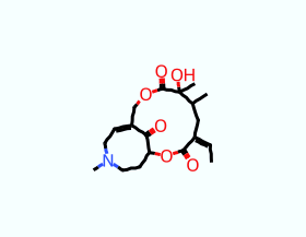 CC=C1CC(C)C(C)(O)C(=O)OC/C2=C/CN(C)CCC(OC1=O)C2=O